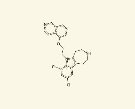 Clc1cc(Cl)c2c(c1)c1c(n2CCOc2cccc3cnccc23)CCNCC1